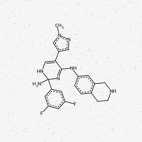 Cn1cc(C2=CNC(N)(c3cc(F)cc(F)c3)N=C2Nc2ccc3c(c2)CNCC3)cn1